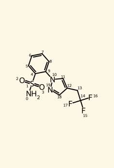 NS(=O)(=O)c1ccccc1-n1cc(CC(F)(F)F)cn1